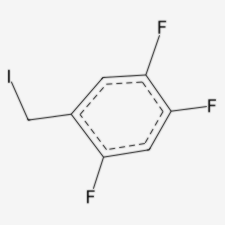 Fc1cc(F)c(CI)cc1F